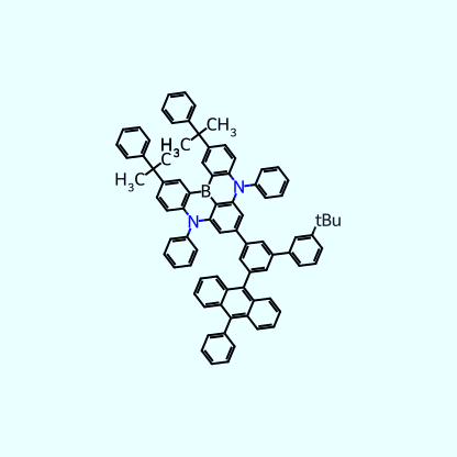 CC(C)(C)c1cccc(-c2cc(-c3cc4c5c(c3)N(c3ccccc3)c3ccc(C(C)(C)c6ccccc6)cc3B5c3cc(C(C)(C)c5ccccc5)ccc3N4c3ccccc3)cc(-c3c4ccccc4c(-c4ccccc4)c4ccccc34)c2)c1